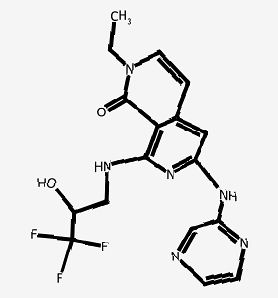 CCn1ccc2cc(Nc3cnccn3)nc(NCC(O)C(F)(F)F)c2c1=O